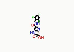 CC1(CO)Sc2ncc(C(=O)NCc3c(F)cc(F)cc3F)cc2NC1=O